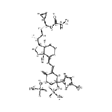 C=C1/C(=C\C=C2/CCC[C@]3(C)[C@@H]([C@H](C)CC[C@@H](OC(=O)NCC)C4CC4)CC[C@@H]23)C[C@](O[Si](C)(C)C(C)(C)C)(c2ncc(CCCC)o2)C[C@@H]1O[Si](C)(C)C(C)(C)C